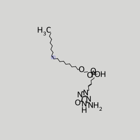 CCCCCCCC/C=C\CCCCCCCCOCCOP(=O)(O)CCC=CCn1cnc2c(=O)[nH]c(N)nc21